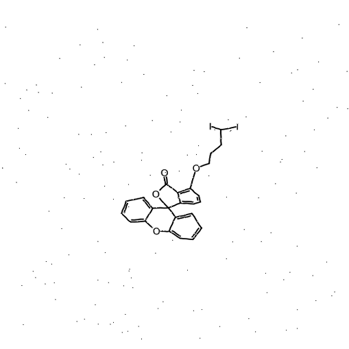 O=C1OC2(c3ccccc3Oc3ccccc32)c2cccc(OCCCC(I)I)c21